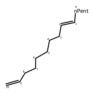 [CH2]CCCCC=CCCCCCCC=C